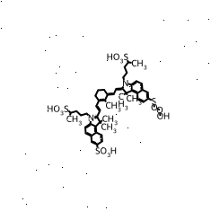 CC1=C(/C=C/C2=[N+](CCCC(C)S(=O)(=O)O)c3ccc4cc(S(=O)(=O)O)ccc4c3C2(C)C)CCC/C1=C\C=C1\N(CCCC(C)S(=O)(=O)O)c2ccc3cc(SOOO)ccc3c2C1(C)C